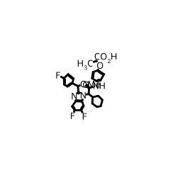 COC(c1ccc(F)cc1)c1nc2cc(F)c(F)cc2n1C(C(=O)Nc1ccc(OC(C)C(=O)O)cc1)C1CCCCC1